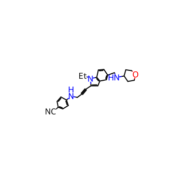 CCn1c(C#CCNc2ccc(C#N)cc2)cc2cc(CNC3CCOCC3)ccc21